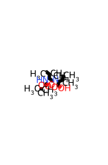 CC[C@H](C)[C@H](NC(=O)OC(C)(C)C)C(=O)N(C)[C@H](C(=O)O)[C@@H](C)CC